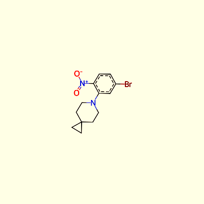 O=[N+]([O-])c1ccc(Br)cc1N1CCC2(CC1)CC2